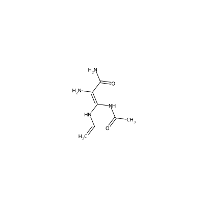 C=CN/C(NC(C)=O)=C(\N)C(N)=O